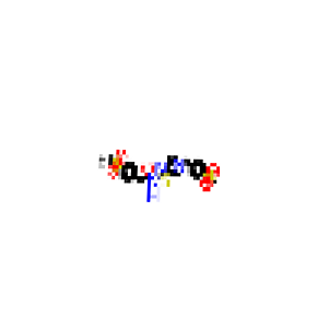 CCS(=O)(=O)c1ccc(CC(=O)Nc2nc3c(s2)CN(Cc2ccc(S(C)(=O)=O)cc2)C3(C)C)cc1